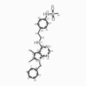 Cc1c(C)n(Cc2ccccc2)c2ncnc(NCCc3ccc(NS(C)(=O)=O)cc3)c12